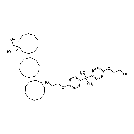 C1CCCCCCCCC1.C1CCCCCCCCC1.CC(C)(c1ccc(OCCO)cc1)c1ccc(OCCO)cc1.OCC1(CO)CCCCCCCCC1